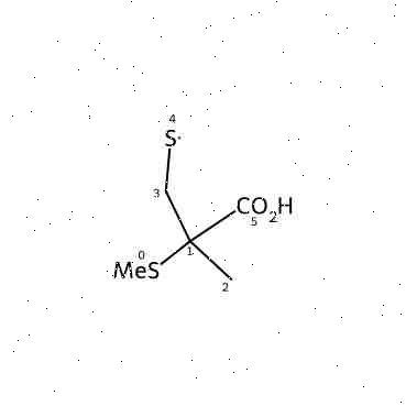 CSC(C)(C[S])C(=O)O